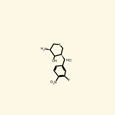 Cl.N[C@H]1CSC[C@@H](Cc2ccc([N+](=O)[O-])c(F)c2)C1O